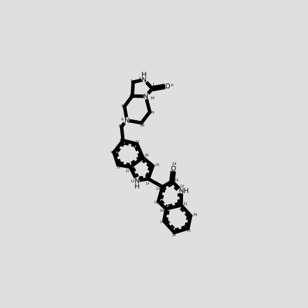 O=C1NCC2CN(Cc3ccc4[nH]c(-c5cc6ccccc6[nH]c5=O)cc4c3)CCN12